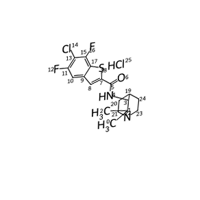 CC1(C)C(NC(=O)c2cc3cc(F)c(Cl)c(F)c3s2)C2CCN1CC2.Cl